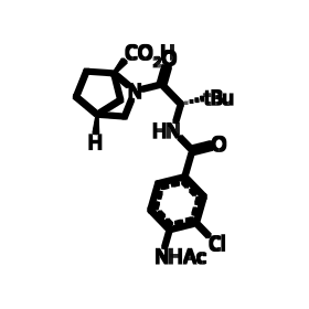 CC(=O)Nc1ccc(C(=O)N[C@H](C(=O)N2C[C@@H]3CC[C@@]2(C(=O)O)C3)C(C)(C)C)cc1Cl